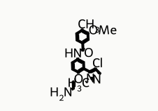 COc1cc(C(=O)Nc2ccc(OCCN)c(-c3c(Cl)cnn3C)c2)ccc1C